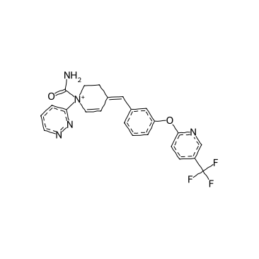 NC(=O)[N+]1(c2cccnn2)C=CC(=Cc2cccc(Oc3ccc(C(F)(F)F)cn3)c2)CC1